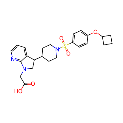 O=C(O)CN1CC(C2CCN(S(=O)(=O)c3ccc(OC4CCC4)cc3)CC2)c2cccnc21